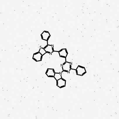 c1ccc(-c2nc(-c3cccc(-c4nc(-c5ccccc5)c5sc6ccccc6c5n4)c3)nc(-n3c4ccccc4c4ccccc43)n2)cc1